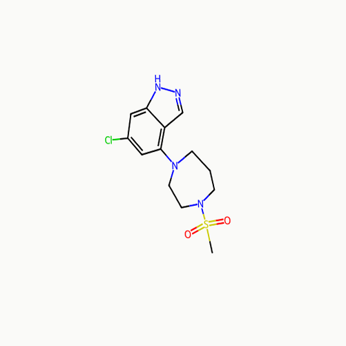 CS(=O)(=O)N1CCCN(c2cc(Cl)cc3[nH]ncc23)CC1